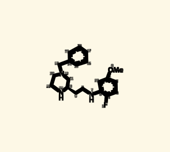 COc1ccc(F)c(NCC[C@@H]2CN(Cc3ccccc3)CCN2)c1